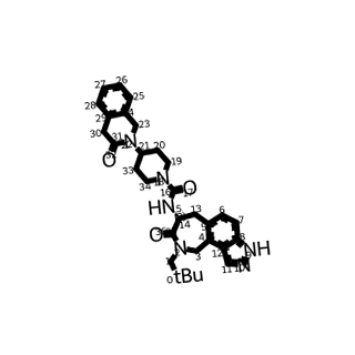 CC(C)(C)CN1Cc2c(ccc3[nH]ncc23)C[C@@H](NC(=O)N2CCC(N3Cc4ccccc4CC3=O)CC2)C1=O